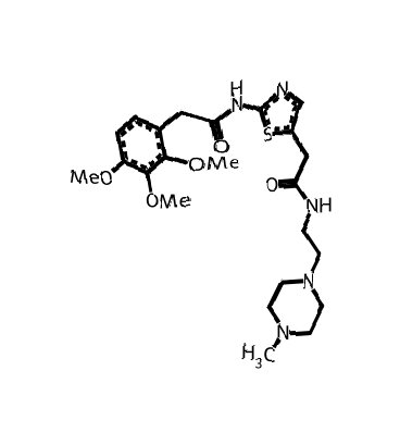 COc1ccc(CC(=O)Nc2ncc(CC(=O)NCCN3CCN(C)CC3)s2)c(OC)c1OC